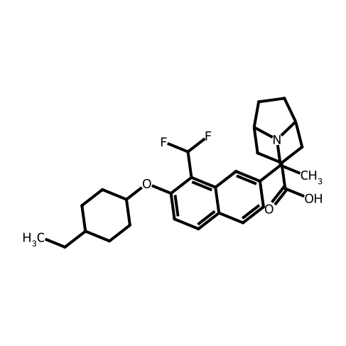 CCC1CCC(Oc2ccc3ccc(C(C)N4C5CCC4CC(C(=O)O)C5)cc3c2C(F)F)CC1